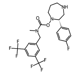 CN(Cc1cc(C(F)(F)F)cc(C(F)(F)F)c1)C(=O)ON1CCCNC[C@@H]1c1ccc(F)cc1